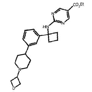 CCOC(=O)c1cnc(NC2(c3cccc(C4CCN(C5COC5)CC4)c3)CCC2)nc1